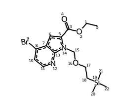 CCOC(=O)c1cc2c(Br)ccnc2n1COCC[Si](C)(C)C